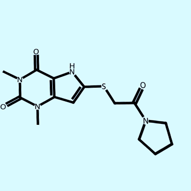 Cn1c(=O)c2[nH]c(SCC(=O)N3CCCC3)cc2n(C)c1=O